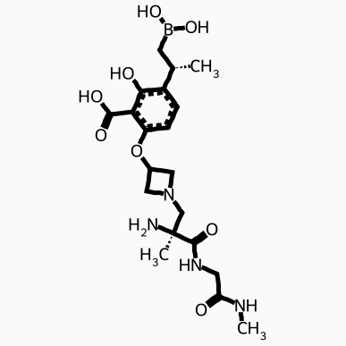 CNC(=O)CNC(=O)[C@@](C)(N)CN1CC(Oc2ccc([C@@H](C)CB(O)O)c(O)c2C(=O)O)C1